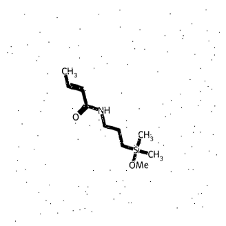 CC=CC(=O)NCCC[Si](C)(C)OC